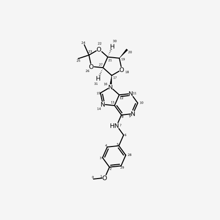 COc1ccc(CNc2ncnc3c2ncn3[C@@H]2O[C@H](C)[C@@H]3OC(C)(C)O[C@@H]32)cc1